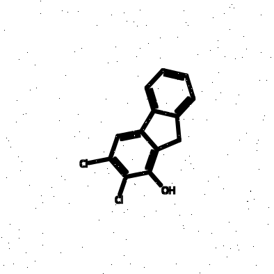 Oc1c(Cl)c(Cl)cc2c1Cc1ccccc1-2